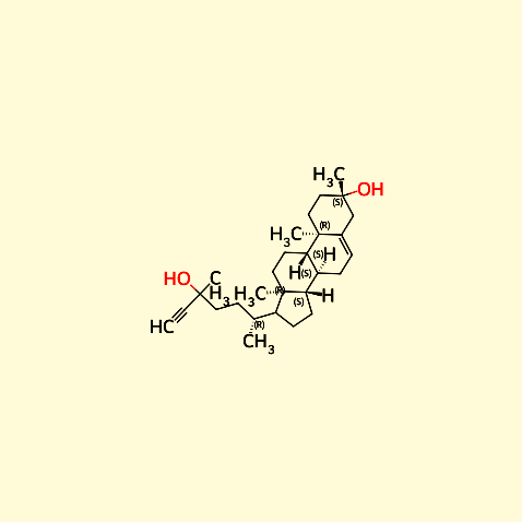 C#CC(C)(O)CC[C@@H](C)C1CC[C@H]2[C@@H]3CC=C4C[C@@](C)(O)CC[C@]4(C)[C@H]3CC[C@]12C